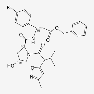 Cc1cc(C(C(=O)N2C[C@H](O)C[C@H]2C(=O)N[C@@H](CC(=O)OCc2ccccc2)c2ccc(Br)cc2)C(C)C)on1